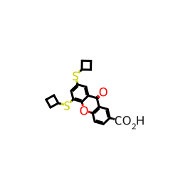 O=C(O)c1ccc2oc3c(SC4CCC4)cc(SC4CCC4)cc3c(=O)c2c1